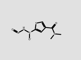 CN(C)C(=O)c1csc([S+]([O-])NN=O)c1